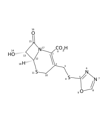 O=C(O)C1=C(CSc2nnco2)CS[C@H]2[C@H](O)C(=O)N12